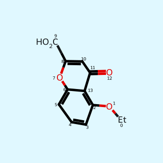 CCOc1cccc2oc(C(=O)O)cc(=O)c12